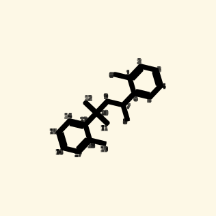 Cc1ccccc1C(C)CC(C)(C)c1ccccc1C